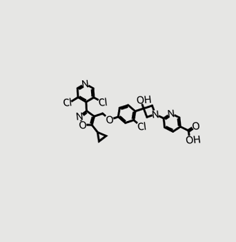 O=C(O)c1ccc(N2CC(O)(c3ccc(OCc4c(-c5c(Cl)cncc5Cl)noc4C4CC4)cc3Cl)C2)nc1